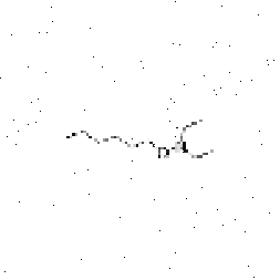 CCCCCCON(CC)CC